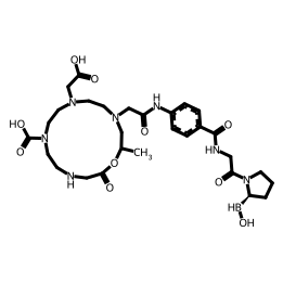 CC1CN(CC(=O)Nc2ccc(C(=O)NCC(=O)N3CCC[C@H]3BO)cc2)CCN(CC(=O)O)CCN(C(=O)O)CCNCC(=O)O1